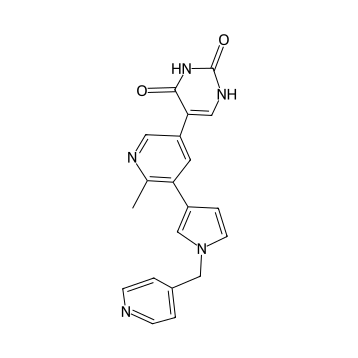 Cc1ncc(-c2c[nH]c(=O)[nH]c2=O)cc1-c1ccn(Cc2ccncc2)c1